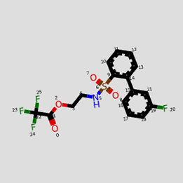 O=C(OCCNS(=O)(=O)c1ccccc1-c1cccc(F)c1)C(F)(F)F